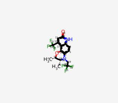 C[C@@H]1Oc2c(ccc3[nH]c(=O)cc(C(F)(F)F)c23)N(CC(F)(F)F)[C@@H]1C